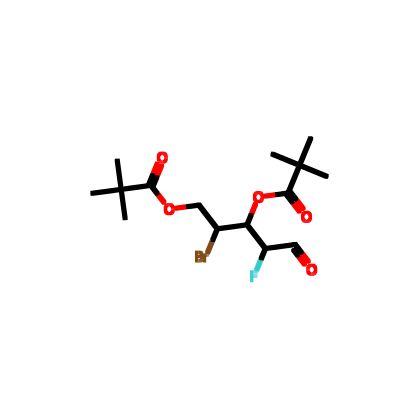 CC(C)(C)C(=O)OCC(Br)C(OC(=O)C(C)(C)C)C(F)C=O